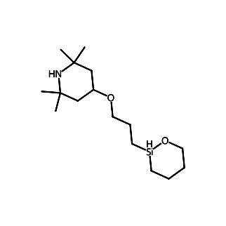 CC1(C)CC(OCCC[SiH]2CCCCO2)CC(C)(C)N1